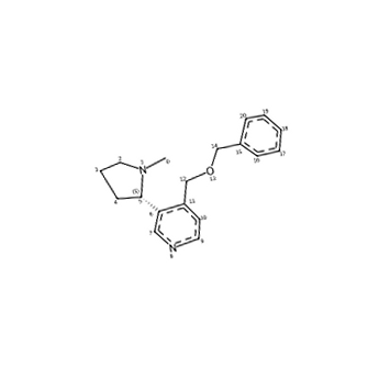 CN1CCC[C@H]1c1cnccc1COCc1ccccc1